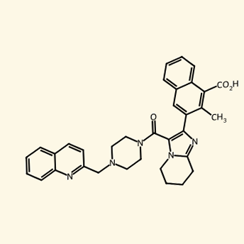 Cc1c(-c2nc3n(c2C(=O)N2CCN(Cc4ccc5ccccc5n4)CC2)CCCC3)cc2ccccc2c1C(=O)O